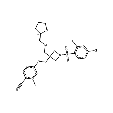 N#Cc1ccc(OCC2(CNC[C@H]3CCCO3)CN(S(=O)(=O)c3ccc(Cl)cc3Cl)C2)cc1F